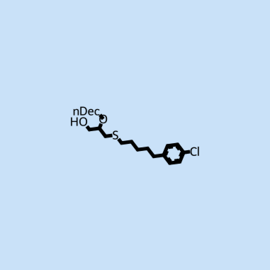 CCCCCCCCCCOC(CO)CSCCCCCc1ccc(Cl)cc1